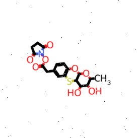 CC1OC2Oc3ccc(CC(=O)ON4C(=O)CCC4=O)cc3SC2C(O)C1O